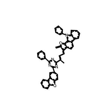 C=c1oc2c(ccc3c4ccccc4n(-c4ccccc4)c32)/c1=C/C=C(\C)c1nc(-c2ccccc2)nc(-c2ccc3oc4ccccc4c3c2)n1